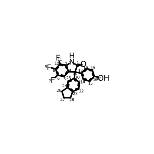 O=C1Nc2c(cc(F)c(F)c2F)C1(c1ccc(O)cc1)c1ccc2c(c1)CCC2